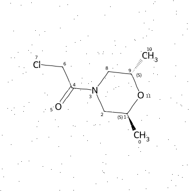 C[C@H]1CN(C(=O)CCl)C[C@H](C)O1